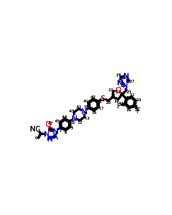 CC(C#N)n1ncn(-c2ccc(N3CCN(c4ccc(SCC5COC(Cn6cncn6)(c6ccc(F)cc6F)C5)cc4)CC3)cc2)c1=O